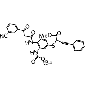 COC(=O)C(C#Cc1ccccc1)Sc1ccc(NC(=O)CC(=O)c2cccc(C#N)c2)c(NC(=O)OC(C)(C)C)c1